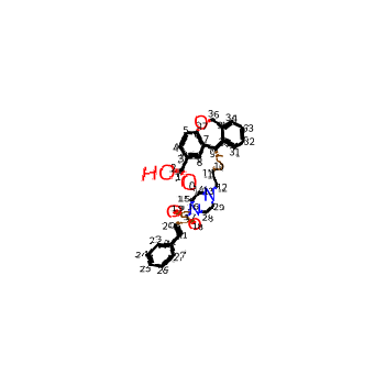 O=C(O)c1ccc2c(c1)C(SCCN1CCN(S(=O)(=O)C=Cc3ccccc3)CC1)c1ccccc1CO2